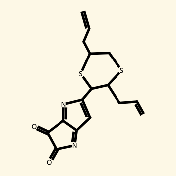 C=CCC1CSC(CC=C)C(c2cc3nc(=O)c(=O)c-3n2)S1